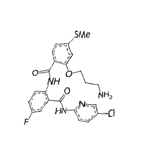 CSc1ccc(C(=O)Nc2ccc(F)cc2C(=O)Nc2ccc(Cl)cn2)c(OCCCN)c1